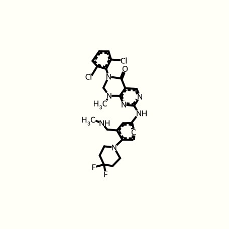 CNCc1cc(Nc2ncc3c(n2)N(C)CN(c2c(Cl)cccc2Cl)C3=O)ccc1N1CCC(F)(F)CC1